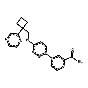 NC(=O)c1cccc(-c2ccc(NCC3(c4cnccn4)CCC3)nn2)c1